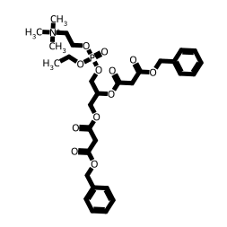 CCOP(=O)(OCC[N+](C)(C)C)OCC(COC(=O)CC(=O)OCc1ccccc1)OC(=O)CC(=O)OCc1ccccc1